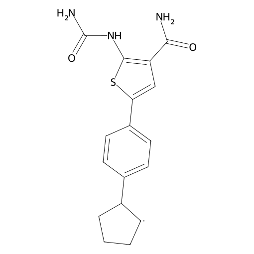 NC(=O)Nc1sc(-c2ccc(C3[CH]CCC3)cc2)cc1C(N)=O